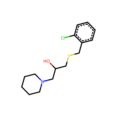 OC(CSCc1ccccc1Cl)CN1CCCCC1